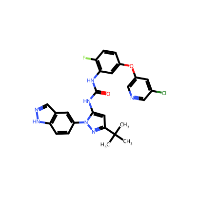 CC(C)(C)c1cc(NC(=O)Nc2cc(Oc3cncc(Cl)c3)ccc2F)n(-c2ccc3[nH]ncc3c2)n1